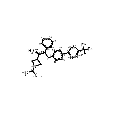 C=C(C1CN(C(C)C)C1)N(Cc1ccc(C2=NN=C(C(F)(F)F)OC2)cc1)c1ccccc1